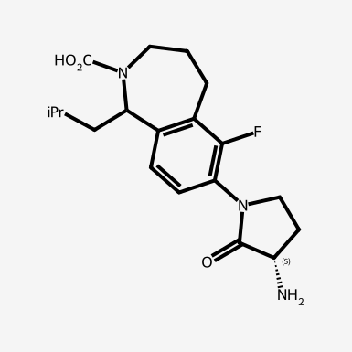 CC(C)CC1c2ccc(N3CC[C@H](N)C3=O)c(F)c2CCCN1C(=O)O